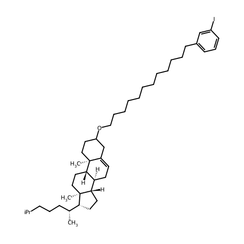 CC(C)CCC[C@@H](C)[C@H]1CC[C@H]2[C@@H]3CC=C4CC(OCCCCCCCCCCCCc5cccc(I)c5)CC[C@]4(C)[C@H]3CC[C@]12C